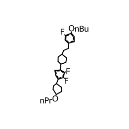 CCCCOc1ccc(CCC2CCC(c3ccc(C4CCC(OCCC)CC4)c(F)c3F)CC2)cc1F